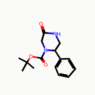 CC(C)(C)OC(=O)N1CC(=O)NCC1c1ccccc1